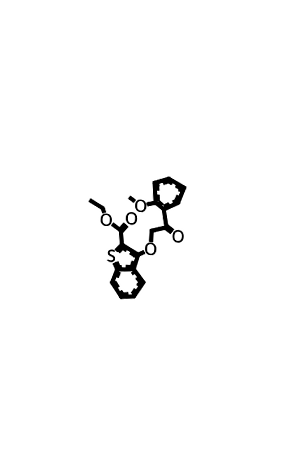 CCOC(=O)c1sc2ccccc2c1OCC(=O)c1ccccc1OC